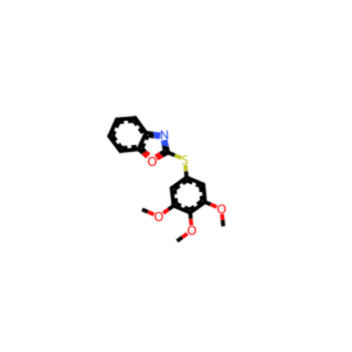 COc1cc(Sc2nc3ccccc3o2)cc(OC)c1OC